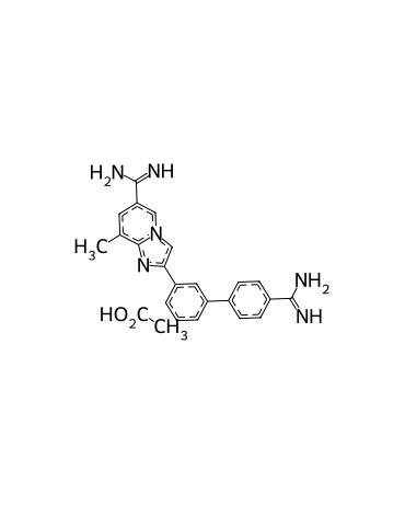 CC(=O)O.Cc1cc(C(=N)N)cn2cc(-c3cccc(-c4ccc(C(=N)N)cc4)c3)nc12